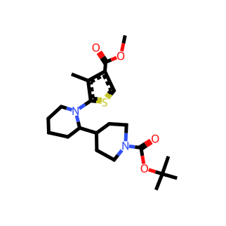 COC(=O)c1csc(N2CCCCC2C2CCN(C(=O)OC(C)(C)C)CC2)c1C